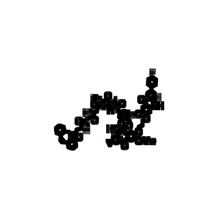 COc1cc2c(cc1OCCCOc1cc3c(cc1OC)C(=O)N1CC4(CC4)C[C@H]1C(O)N3C(=O)OCc1ccc(NC(=O)[C@H](C)NC(=O)[C@@H](NC(=O)CNC(=O)CNC(=O)CCC(=O)N3Cc4ccccc4C#Cc4ccccc43)C(C)C)cc1)NC[C@@H]1CC(c3ccc(F)cc3)=CN1C2=O